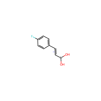 OB(O)/C=C/c1ccc(F)cc1